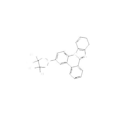 CC1(C)OB(c2ccc3c(c2)c2ccccc2c2nc4c(n32)C=CCC4)OC1(C)C